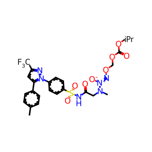 Cc1ccc(-c2cc(C(F)(F)F)nn2-c2ccc(S(=O)(=O)NC(=O)CN(C)/[N+]([O-])=N/OCOC(=O)OC(C)C)cc2)cc1